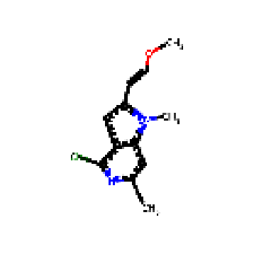 COC=Cc1cc2c(Cl)nc(C)cc2n1C